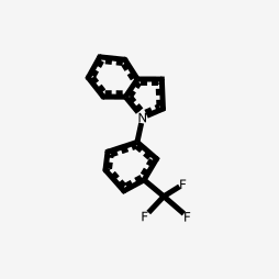 FC(F)(F)c1cccc(-n2ccc3ccccc32)c1